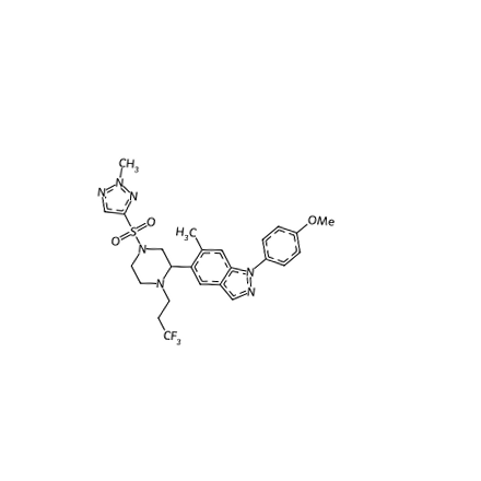 COc1ccc(-n2ncc3cc(C4CN(S(=O)(=O)c5cnn(C)n5)CCN4CCC(F)(F)F)c(C)cc32)cc1